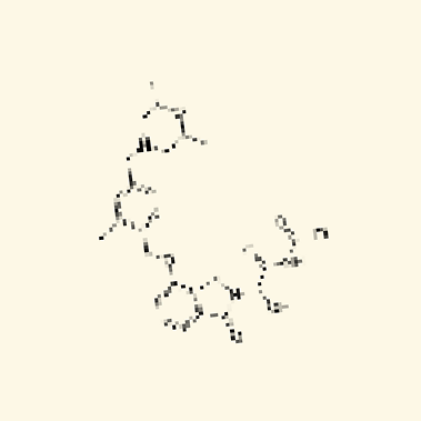 CCC(=O)NC(=O)C(O)N1Cc2c(OCc3ccc(CN4CC(C)OC(C)C4)cc3F)cccc2C1=O